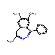 CNC1=NN=C(c2ccccc2)c2cc(OC)c(OC)cc2C1